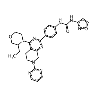 CCC1COCCN1c1nc(-c2ccc(NC(=O)Nc3ccon3)cc2)nc2c1CCN(c1ncccn1)C2